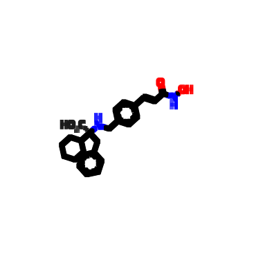 O=C(C=Cc1ccc(CN[C@](Cc2ccccc2)(C(=O)O)C2CCCCC2)cc1)NO